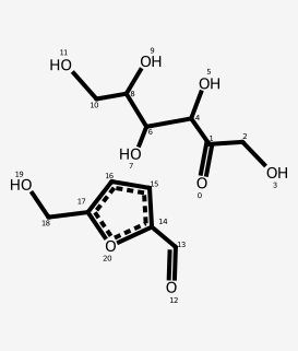 O=C(CO)C(O)C(O)C(O)CO.O=Cc1ccc(CO)o1